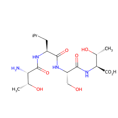 CC(C)C[C@H](NC(=O)[C@@H](N)[C@@H](C)O)C(=O)N[C@@H](CO)C(=O)N[C@H](C(=O)O)[C@@H](C)O